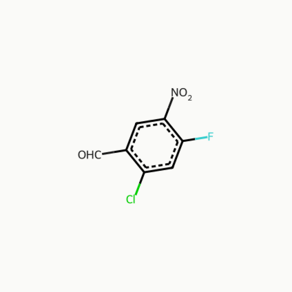 O=Cc1cc([N+](=O)[O-])c(F)cc1Cl